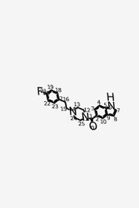 O=C(c1ccc2[nH]ccc2c1)N1CCN(CCc2ccc(F)cc2)CC1